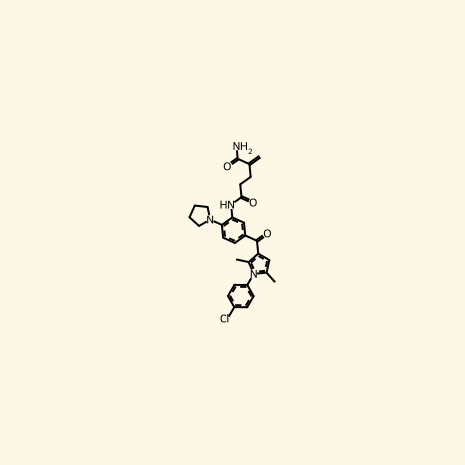 C=C(CCC(=O)Nc1cc(C(=O)c2cc(C)n(-c3ccc(Cl)cc3)c2C)ccc1N1CCCC1)C(N)=O